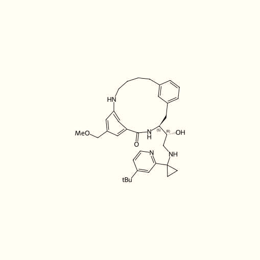 COCc1cc2cc(c1)C(=O)N[C@H]([C@H](O)CNC1(c3cc(C(C)(C)C)ccn3)CC1)Cc1cccc(c1)CCCCN2